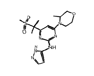 CC1COCCN1c1cc(C(C)(C)S(C)(=O)=O)nc(Nc2ccn[nH]2)n1